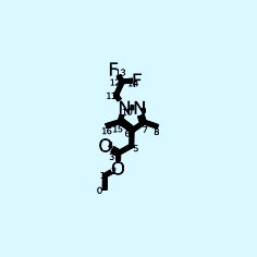 CCOC(=O)Cc1c(C)nn(CC(F)F)c1C